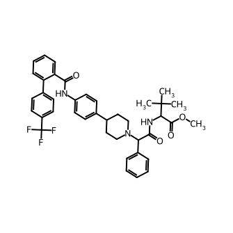 COC(=O)C(NC(=O)C(c1ccccc1)N1CCC(c2ccc(NC(=O)c3ccccc3-c3ccc(C(F)(F)F)cc3)cc2)CC1)C(C)(C)C